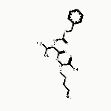 CC(C)[C@H](NC(=O)OCc1ccccc1)C(=O)N[C@@H](CCCCN)C(=O)O